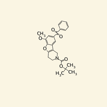 COc1cc(S(=O)(=O)c2ccccc2)cc2c3c(oc12)CCN(C(=O)OC(C)(C)C)C3